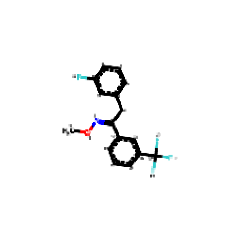 CON=C(Cc1cccc(F)c1)c1cccc(C(F)(F)F)c1